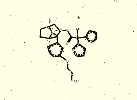 CCOC(=O)CCOc1cccc(C[N@+]2(C)[C@@H]3CC[C@H]2C[C@@H](OC(=O)C(O)(c2cccs2)c2cccs2)C3)c1.[Br-]